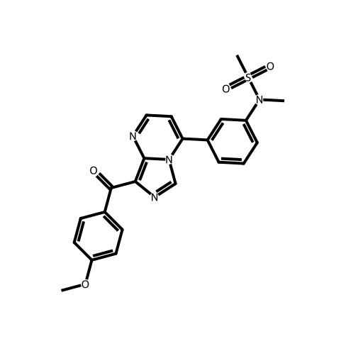 COc1ccc(C(=O)c2ncn3c(-c4cccc(N(C)S(C)(=O)=O)c4)ccnc23)cc1